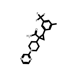 Cc1cc(C2CC2(C(N)=O)C2CCN(c3cnccn3)CC2)cc(C(F)(F)F)c1